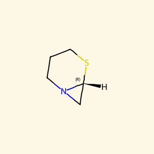 C1CS[C@@H]2CN2C1